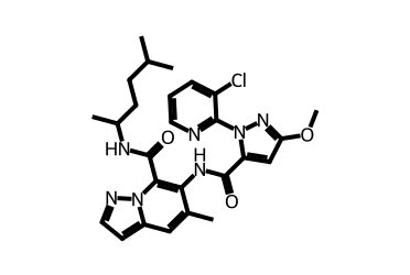 COc1cc(C(=O)Nc2c(C)cc3ccnn3c2C(=O)NC(C)CCC(C)C)n(-c2ncccc2Cl)n1